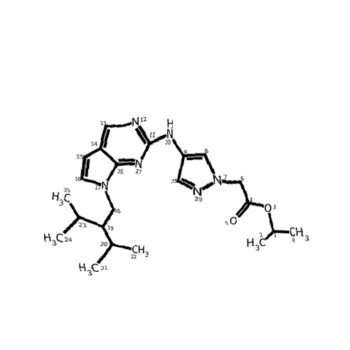 CC(C)OC(=O)Cn1cc(Nc2ncc3ccn(CC(C(C)C)C(C)C)c3n2)cn1